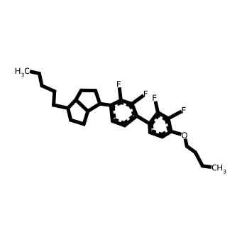 CCCCCC1CCC2C(c3ccc(-c4ccc(OCCCC)c(F)c4F)c(F)c3F)CCC12